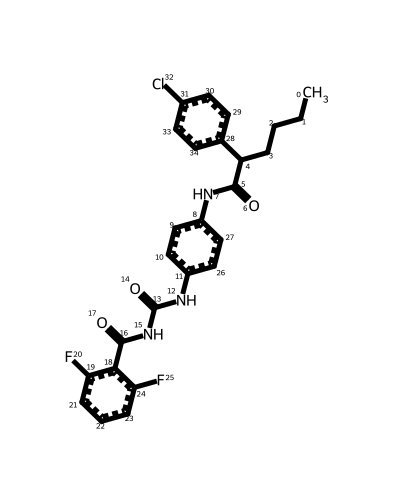 CCCCC(C(=O)Nc1ccc(NC(=O)NC(=O)c2c(F)cccc2F)cc1)c1ccc(Cl)cc1